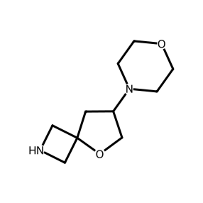 C1CN(C2COC3(CNC3)C2)CCO1